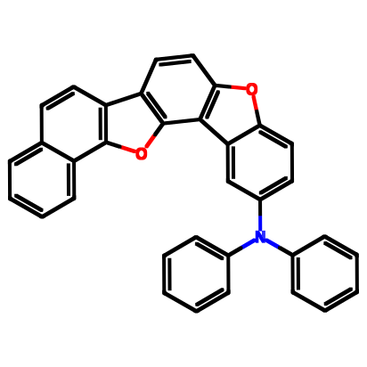 c1ccc(N(c2ccccc2)c2ccc3oc4ccc5c6ccc7ccccc7c6oc5c4c3c2)cc1